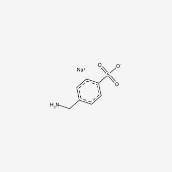 NCc1ccc(S(=O)(=O)[O-])cc1.[Na+]